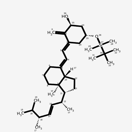 C=C1/C(=C/C=C2\CCC[C@]3(C)[C@@H]([C@H](C)/C=C/[C@H](C)C(C)C)CC[C@@H]23)C[C@@H](O[Si](C)(C)C(C)(C)C)C[C@@H]1O